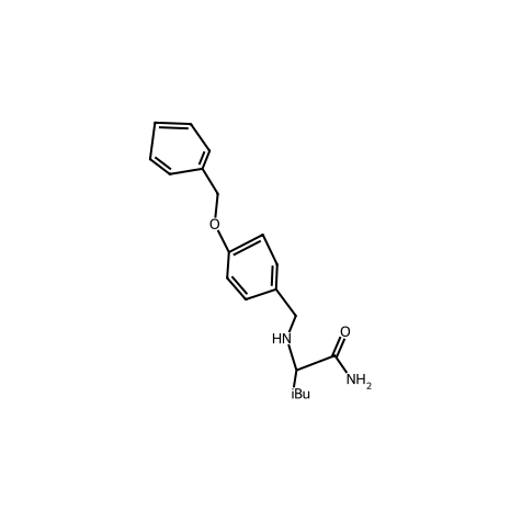 CCC(C)C(NCc1ccc(OCc2ccccc2)cc1)C(N)=O